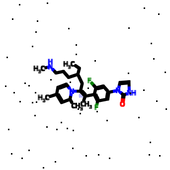 CCC(CCCNC)C/C(=C(/C)c1c(F)cc(-n2cc[nH]c2=O)cc1F)N1C=CC(C)=CC1C